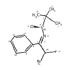 CC(C)(C)[S@+]([O-])/N=C(\c1ccccc1)C(F)Br